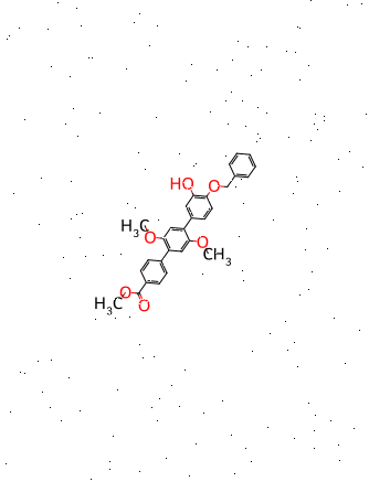 COC(=O)c1ccc(-c2cc(OC)c(-c3ccc(OCc4ccccc4)c(O)c3)cc2OC)cc1